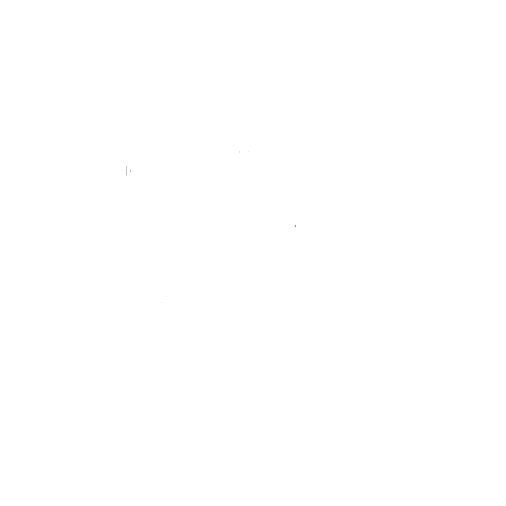 O=[C]c1cccc(OCCN(Cc2ccccc2)Cc2ccccc2)c1Cc1cccc(OCc2ccccc2)c1